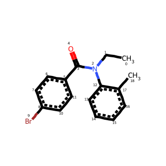 CCN(C(=O)c1ccc(Br)cc1)c1ccccc1C